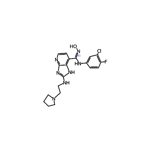 O/N=C(/Nc1ccc(F)c(Cl)c1)c1ccnc2nc(NCCN3CCCC3)[nH]c12